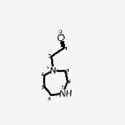 O=CCN1CCCNCC1